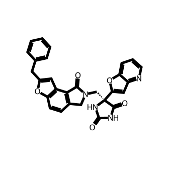 O=C1NC(=O)[C@](CN2Cc3ccc4oc(Cc5ccccc5)cc4c3C2=O)(c2cc3ncccc3o2)N1